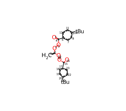 C=C(OOC(=O)c1ccc(C(C)(C)C)cc1)OOC(=O)c1ccc(C(C)(C)C)cc1